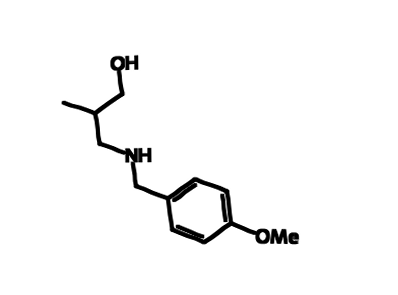 COc1ccc(CNCC(C)CO)cc1